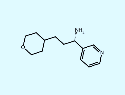 N[C@@H](CCC1CCOCC1)c1cccnc1